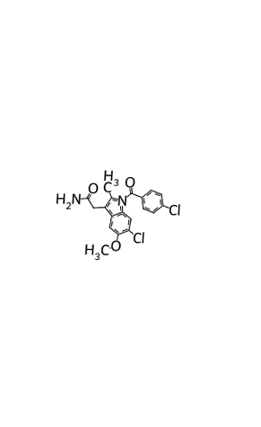 COc1cc2c(CC(N)=O)c(C)n(C(=O)c3ccc(Cl)cc3)c2cc1Cl